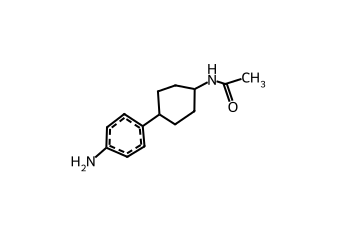 CC(=O)NC1CCC(c2ccc(N)cc2)CC1